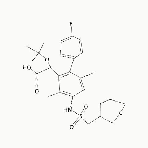 Cc1cc(NS(=O)(=O)CC2CCCCC2)c(C)c(C(OC(C)(C)C)C(=O)O)c1-c1ccc(F)cc1